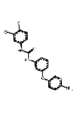 Nc1ccc(Oc2cccc(NC(=O)Nc3ccc(F)c(Cl)c3)c2)cn1